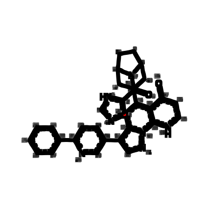 O=C(c1nnc[nH]1)N1C2CCC1CC(c1nc3c(-c4ccc(-c5ccccc5)nc4)cnn3c3[nH]ccc(=O)c13)C2